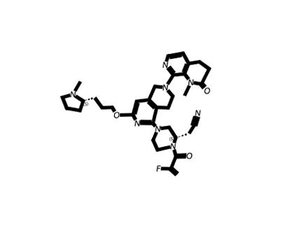 C=C(F)C(=O)N1CCN(c2nc(OCCC[C@@H]3CCCN3C)cc3c2CCN(c2nccc4c2N(C)C(=O)CC4)C3)C[C@@H]1CC#N